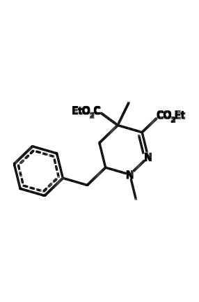 CCOC(=O)C1=NN(C)C(Cc2ccccc2)CC1(C)C(=O)OCC